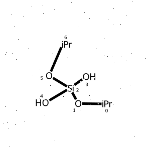 CC(C)O[Si](O)(O)OC(C)C